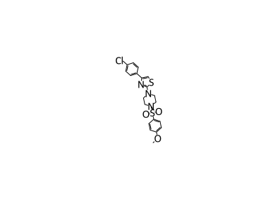 COc1ccc(S(=O)(=O)N2CCN(c3nc(-c4ccc(Cl)cc4)cs3)CC2)cc1